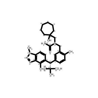 Cc1ccc([C@@H](c2ccc3c(nnn3C)c2C)C(C)(C)C(=O)O)cc1CN(CC1(O)CCCCCC1)C(N)=O